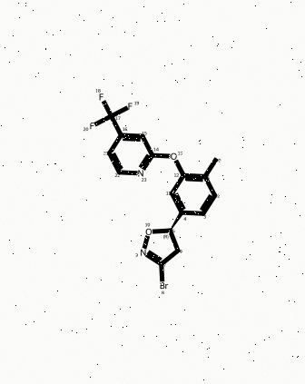 Cc1ccc([C@H]2CC(Br)=NO2)cc1Oc1cc(C(F)(F)F)ccn1